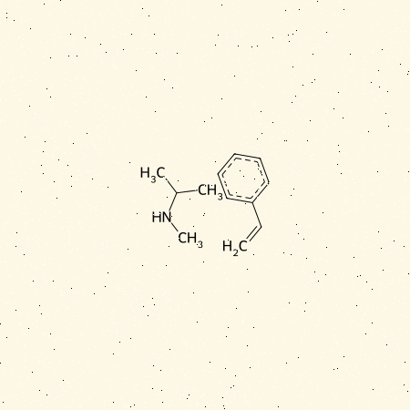 C=Cc1ccccc1.CNC(C)C